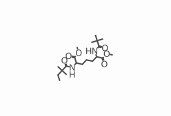 CCC(C)(C)C(=O)NC(CCCC(NC(=O)C(C)(C)C)C(=O)OC)C(=O)OC